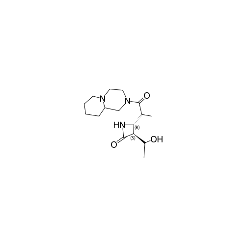 CC(C(=O)N1CCN2CCCCC2C1)[C@H]1NC(=O)[C@@H]1C(C)O